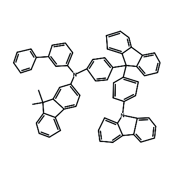 CC1(C)c2ccccc2-c2ccc(N(c3ccc(C4(c5ccc(-n6c7ccccc7c7ccccc76)cc5)c5ccccc5-c5ccccc54)cc3)c3cccc(-c4ccccc4)c3)cc21